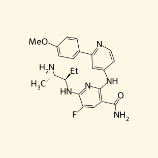 CC[C@@H](Nc1nc(Nc2ccnc(-c3ccc(OC)cc3)c2)c(C(N)=O)cc1F)[C@H](C)N